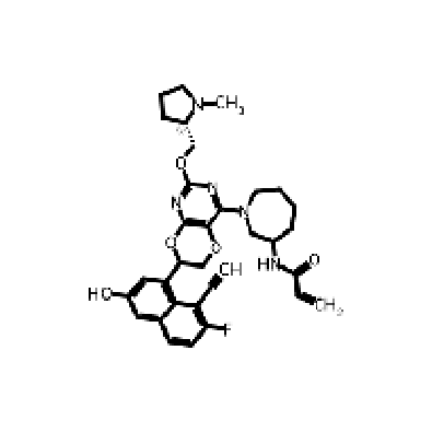 C#Cc1c(F)ccc2cc(O)cc(C3COc4c(nc(OC[C@@H]5CCCN5C)nc4N4CCCCC(NC(=O)C=C)C4)O3)c12